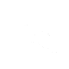 CCCC[C@H]1CN(c2ccc(F)cc2)c2cc(SCC)c(O/C=C(\F)C(=O)O)cc2S(O)(O)N1C